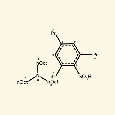 CC(C)c1cc(C(C)C)c(S(=O)(=O)O)c(C(C)C)c1.CCCCCCCCN(CCCCCCCC)CCCCCCCC